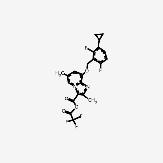 Cc1cc(OCc2c(F)ccc(C3CC3)c2F)c2nc(C)c(C(=O)OC(=O)C(F)(F)F)n2c1